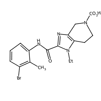 CCn1c(C(=O)Nc2cccc(Br)c2C)nc2c1CCN(C(=O)O)C2